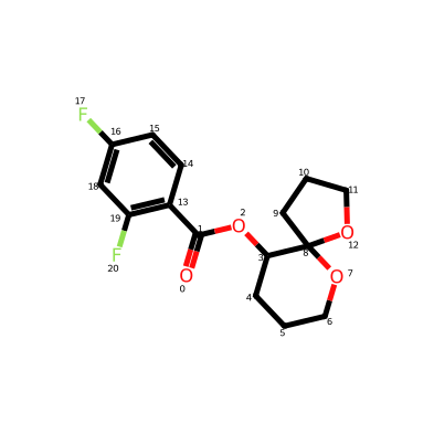 O=C(OC1CCCOC12CCCO2)c1ccc(F)cc1F